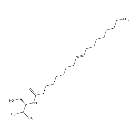 CCCCCCCC/C=C/CCCCCCCC(=O)N[C@H](CO)C(C)C